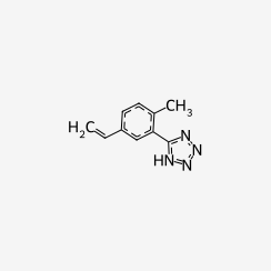 C=Cc1ccc(C)c(-c2nnn[nH]2)c1